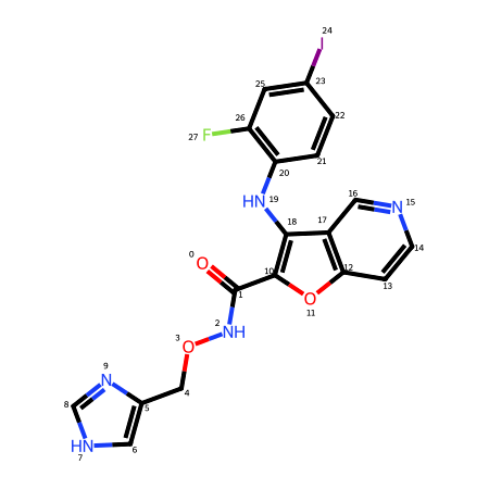 O=C(NOCc1c[nH]cn1)c1oc2ccncc2c1Nc1ccc(I)cc1F